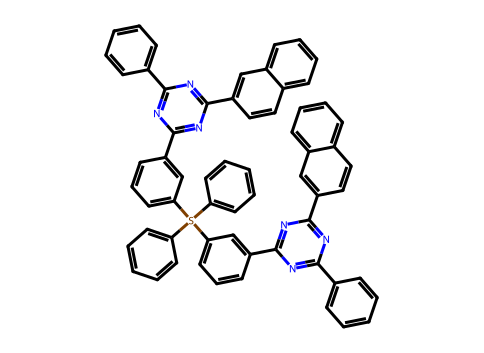 c1ccc(-c2nc(-c3cccc(S(c4ccccc4)(c4ccccc4)c4cccc(-c5nc(-c6ccccc6)nc(-c6ccc7ccccc7c6)n5)c4)c3)nc(-c3ccc4ccccc4c3)n2)cc1